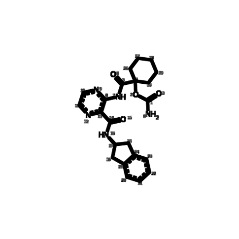 NC(=O)OC1(C(=O)Nc2nccnc2C(=O)NC2Cc3ccccc3C2)CCCCC1